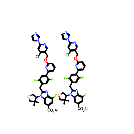 CC1(C)COCC1n1c(Cc2cc(F)c(-c3cccc(OCc4cnc(-n5ccnc5)cc4Cl)n3)cc2F)nc2c(F)cc(C(=O)O)cc21.CC1(C)COCC1n1c(Cc2cc(F)c(-c3cccc(OCc4cnc(-n5ccnc5)cc4Cl)n3)cc2F)nc2c(F)cc(C(=O)O)cc21